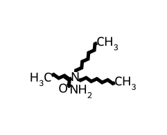 CCC/C=C(\C(N)=O)N(CCCCCCCC)CCCCCCCC